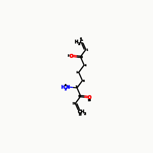 C=CC(=O)CCCC(N)C(=O)C=C